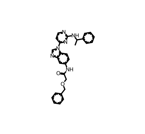 CC(Nc1nccc(-n2cnc3cc(NC(=O)COCc4ccccc4)ccc32)n1)c1ccccc1